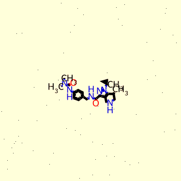 CC1CNCc2c(C(=O)NCc3ccc(NC(=O)N(C)C)cc3)nn(C3(C)CC3)c21